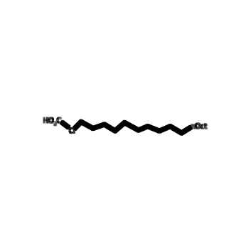 CCCCCCCCCCCCCCCCC[CH2][Cr][C](=O)O